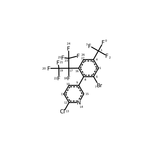 FC(F)(F)c1[c]c(Br)c(-c2ccc(Cl)nc2)c(C(F)(C(F)(F)F)C(F)(F)F)c1